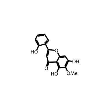 COc1c(O)cc2oc(-c3ccccc3O)cc(=O)c2c1O